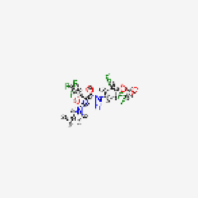 O=C(Nc1ccc(OC2COCC2(F)F)c(F)c1)c1nc(N2CCC3(CC3)C2)oc1CC(F)(F)F